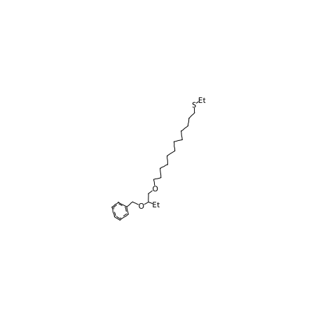 CCSCCCCCCCCCCCCOCC(CC)OCc1ccccc1